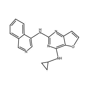 c1ccc2c(Nc3nc(NC4CC4)c4occc4n3)cncc2c1